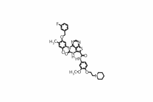 COc1cc(NC(=O)c2sc3ncnc4c3c2NC(=O)N4c2cc(OCc3cccc(F)c3)c(C)cc2Cl)ccc1OCCN1CCCCC1